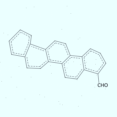 O=Cc1cccc2c1ccc1c2ccc2c3ccccc3ccc21